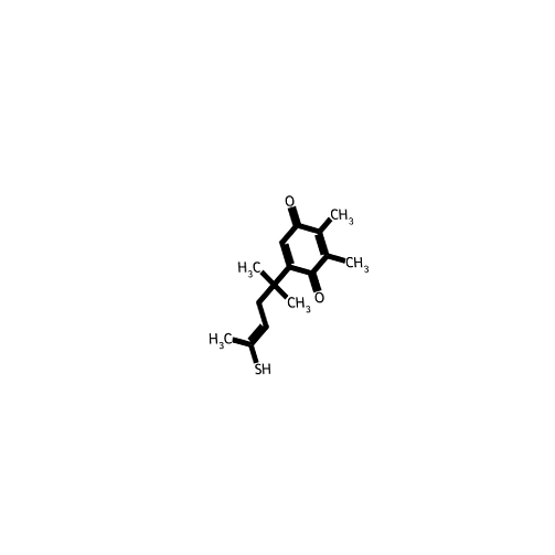 CC1=C(C)C(=O)C(C(C)(C)C/C=C(\C)S)=CC1=O